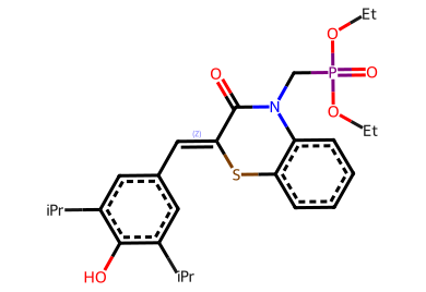 CCOP(=O)(CN1C(=O)/C(=C/c2cc(C(C)C)c(O)c(C(C)C)c2)Sc2ccccc21)OCC